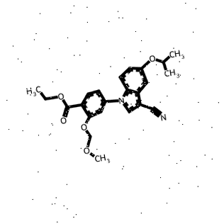 CCOC(=O)c1ccc(-n2cc(C#N)c3cc(OC(C)C)ccc32)cc1OCOC